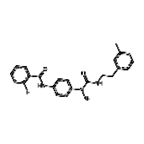 Cc1cccc(CCNC(=O)N(S)c2ccc(NC(=O)c3ccccc3F)cc2)c1